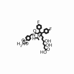 CC(C)n1c(C=C[C@@H](O)C[C@@H](O)CC(=O)O)c(-c2ccc(F)cc2)c(-c2ccc(F)cc2)c1C(=O)NCc1ccc(S(N)(=O)=O)cc1